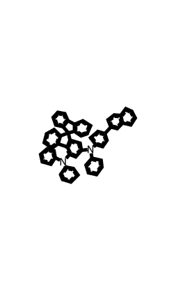 c1ccc(N(c2ccc(-c3ccc4ccccc4c3)cc2)c2cc(N(c3ccccc3)c3ccccc3)c3c(c2)C2(c4ccccc4-c4ccccc42)c2ccccc2-3)cc1